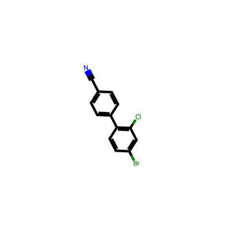 N#Cc1ccc(-c2ccc(Br)cc2Cl)cc1